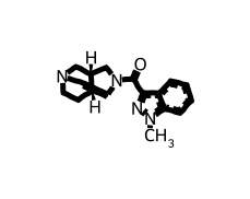 Cn1nc(C(=O)N2C[C@H]3CN4C=C2[C@@H]3CC4)c2ccccc21